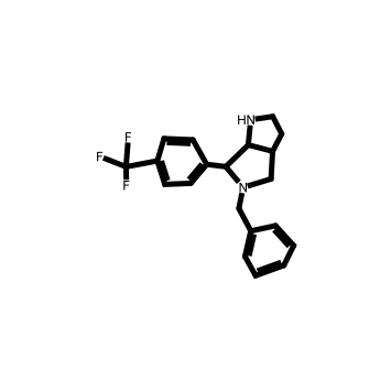 FC(F)(F)c1ccc(C2C3NCCC3CN2Cc2ccccc2)cc1